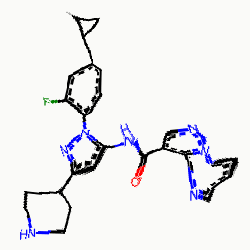 O=C(Nc1cc(C2CCNCC2)nn1-c1ccc(C2CC2)cc1F)c1cnn2cccnc12